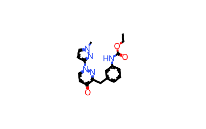 CCOC(=O)Nc1cccc(Cc2nn(-c3ccn(C)n3)ccc2=O)c1